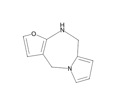 c1cc2n(c1)Cc1ccoc1NC2